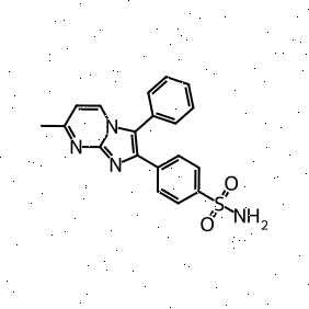 Cc1ccn2c(-c3ccccc3)c(-c3ccc(S(N)(=O)=O)cc3)nc2n1